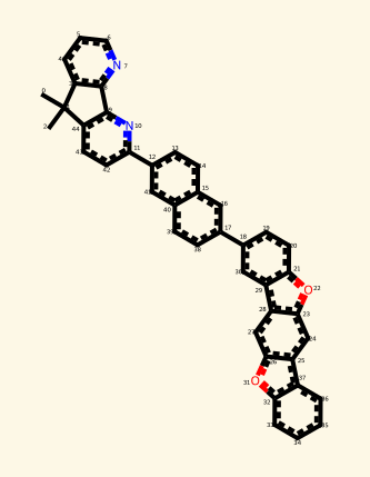 CC1(C)c2cccnc2-c2nc(-c3ccc4cc(-c5ccc6oc7cc8c(cc7c6c5)oc5ccccc58)ccc4c3)ccc21